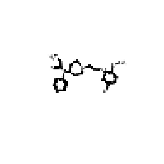 CCC(=O)N(c1ccccc1)C1CCN(CCNc2cc(Cl)ccc2OC)CC1